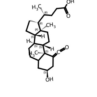 C[C@H](CCC(=O)O)[C@H]1CC[C@H]2[C@@H]3CCC4C[C@H](O)CC(=C=O)[C@]4(C)[C@H]3CC[C@]12C